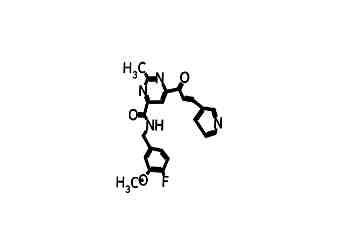 COc1cc(CNC(=O)c2cc(C(=O)/C=C/c3cccnc3)nc(C)n2)ccc1F